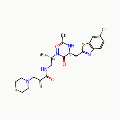 C=C(CN1CCSCC1)C(=O)NC[C@@H](NC(=O)[C@H](Cc1nc2ccc(Cl)cc2s1)NC(=O)CC)C(C)CC